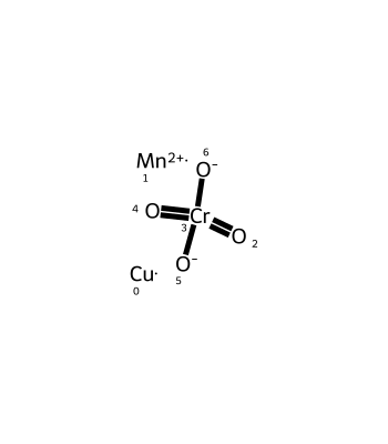 [Cu].[Mn+2].[O]=[Cr](=[O])([O-])[O-]